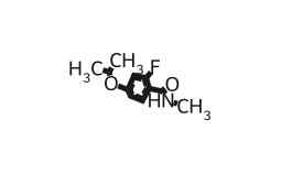 CNC(=O)c1ccc(OC(C)C)cc1F